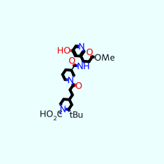 COC(=O)CC(NC(=O)[C@@H]1CCCN(C(=O)CCC2CCN(C(=O)O)C(C(C)(C)C)C2)C1)c1cncc(O)c1